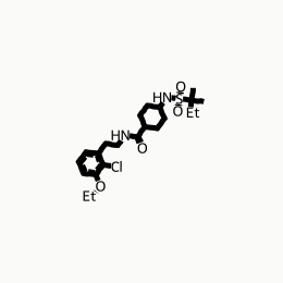 CCOc1cccc(CCNC(=O)C2CCC(NS(=O)(=O)C(C)(C)CC)CC2)c1Cl